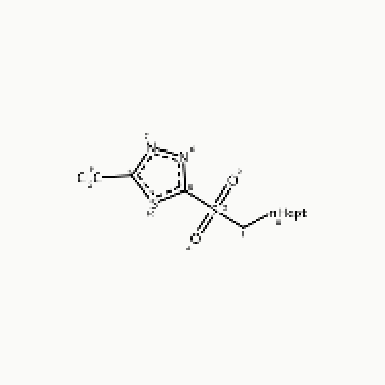 CCCCCCCCS(=O)(=O)c1nnc(C(Cl)(Cl)Cl)s1